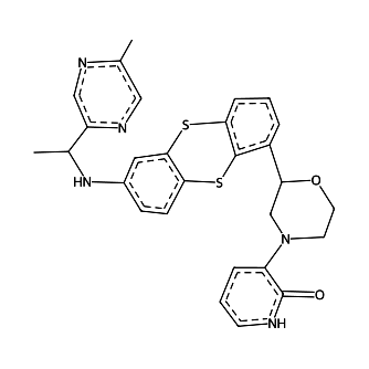 Cc1cnc(C(C)Nc2ccc3c(c2)Sc2cccc(C4CN(c5ccc[nH]c5=O)CCO4)c2S3)cn1